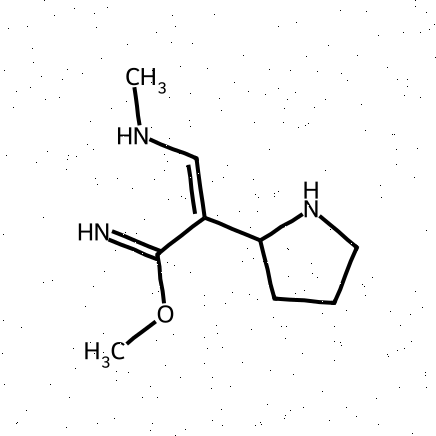 CN/C=C(\C(=N)OC)C1CCCN1